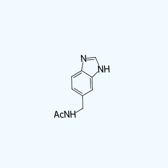 CC(=O)NCc1ccc2nc[nH]c2c1